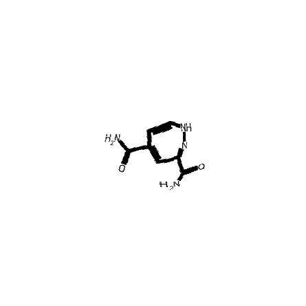 NC(=O)C1=CC(C(N)=O)=NNC=C1